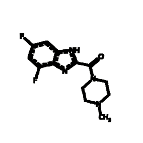 CN1CCN(C(=O)c2nc3c(F)cc(F)cc3[nH]2)CC1